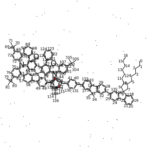 CCCCCCCCC1(CCCCCCCC)c2ccccc2-c2ccc(-c3ccc4c(c3)C(C)(C)c3cc(-c5ccc(-c6ccc(-c7ccc8c(c7)C7(c9ccccc9-8)c8cc(N(c9ccc(C(C)(C)C)cc9)c9ccc(C(C)(C)C)cc9)c9c(oc%10ccccc%109)c8-c8c7cc(N(c7ccc(C(C)(C)C)cc7)c7ccc(C(C)(C)C)cc7)c7oc9ccccc9c87)cc6)cc5)ccc3-4)cc21